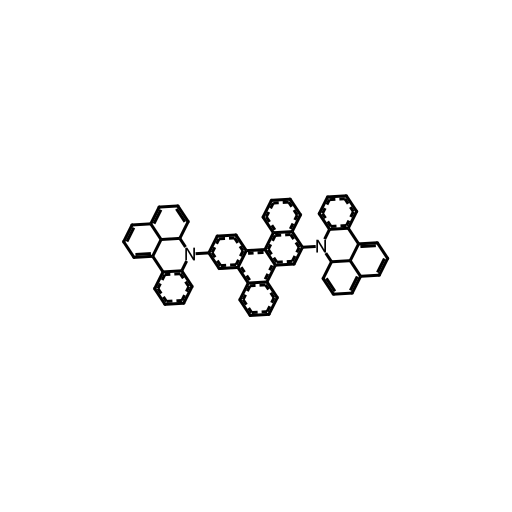 C1=CC2=CC=CC3C2C(=C1)c1ccccc1N3c1ccc2c(c1)c1ccccc1c1cc(N3c4ccccc4C4=CC=CC5=CC=CC3C54)c3ccccc3c21